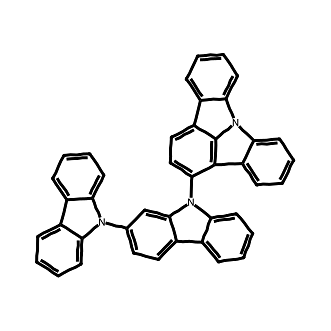 c1ccc2c(c1)c1ccccc1n2-c1ccc2c3ccccc3n(-c3ccc4c5ccccc5n5c6ccccc6c3c45)c2c1